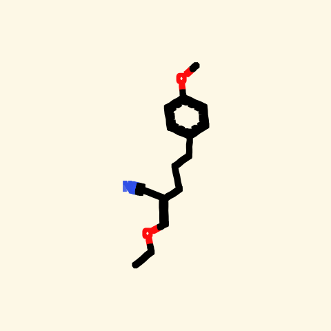 CCO/C=C(\C#N)CCCc1ccc(OC)cc1